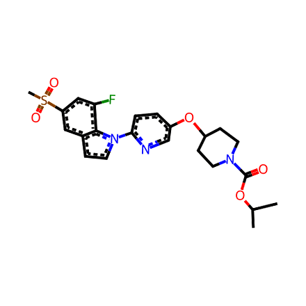 CC(C)OC(=O)N1CCC(Oc2ccc(-n3ccc4cc(S(C)(=O)=O)cc(F)c43)nc2)CC1